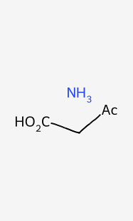 CC(=O)CC(=O)O.N